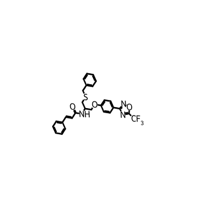 O=C(/C=C/c1ccccc1)NC(COc1ccc(-c2noc(C(F)(F)F)n2)cc1)CSCc1ccccc1